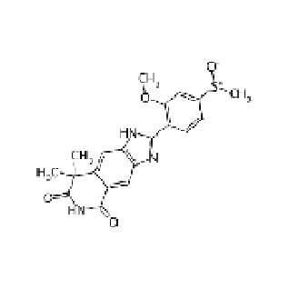 COc1cc([S+](C)[O-])ccc1-c1nc2cc3c(cc2[nH]1)C(C)(C)C(=O)NC3=O